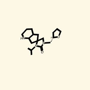 CC(C)N1C(=O)N(C[C@@H]2CCCO2)CC12CC1CCCNC1C2